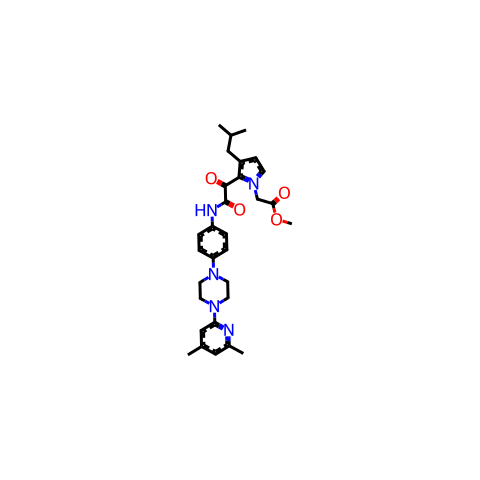 COC(=O)Cn1ccc(CC(C)C)c1C(=O)C(=O)Nc1ccc(N2CCN(c3cc(C)cc(C)n3)CC2)cc1